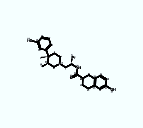 CC(C)[C@@H](CN1CC[C@](C)(c2cccc(O)c2)[C@H](C)C1)NC(=O)C1CCc2cc(O)ccc2C1